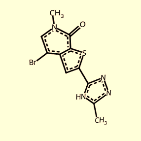 Cc1nnc(-c2cc3c(Br)cn(C)c(=O)c3s2)[nH]1